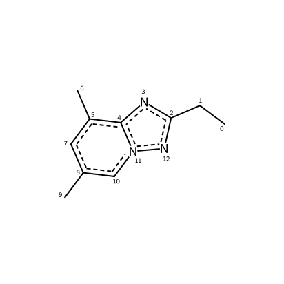 CCc1nc2c(C)cc(C)cn2n1